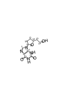 O=c1[nH]c(=O)c2ncn(C3CCC(CCO)O3)c2[nH]1